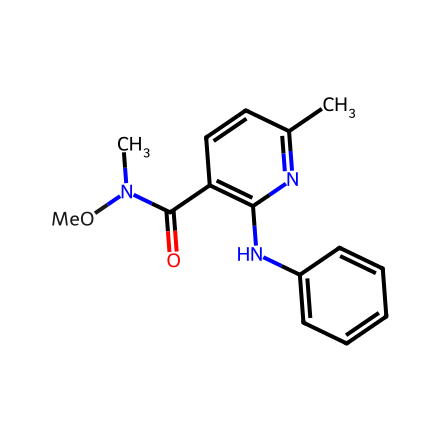 CON(C)C(=O)c1ccc(C)nc1Nc1ccccc1